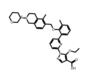 CCOc1c(C(=O)O)cnn1-c1cccc(-c2cccc(C)c2OCc2ccc3c(c2C)CCN([C@@H]2CCCOC2)C3)n1